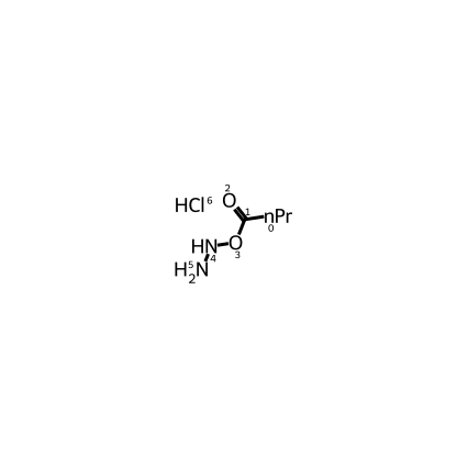 CCCC(=O)ONN.Cl